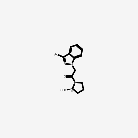 CC(=O)c1nn(CC(=O)N2CCC[C@H]2C=O)c2ccccc12